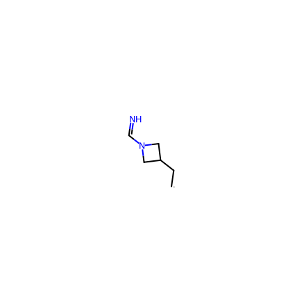 [CH2]CC1CN(C=N)C1